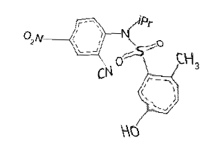 Cc1ccc(O)cc1S(=O)(=O)N(c1ccc([N+](=O)[O-])cc1C#N)C(C)C